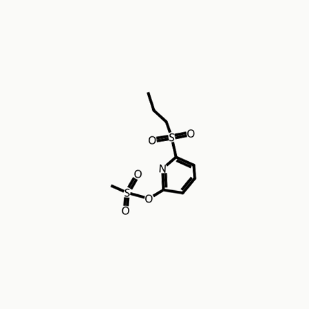 CCCS(=O)(=O)c1cccc(OS(C)(=O)=O)n1